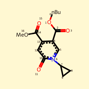 CCCCOC(=O)c1cn(C2CC2)c(=O)cc1C(=O)OC